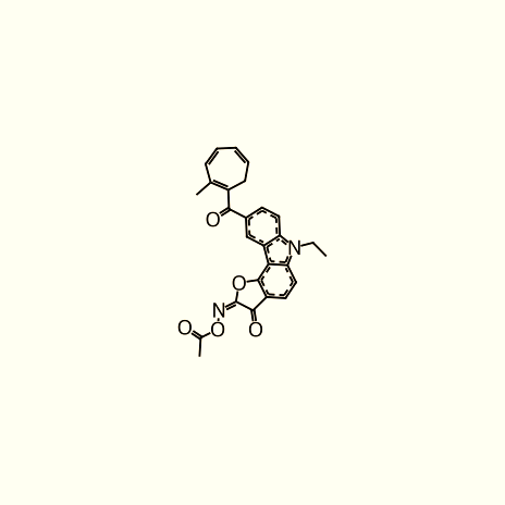 CCn1c2ccc(C(=O)C3=C(C)C=CC=CC3)cc2c2c3c(ccc21)C(=O)/C(=N\OC(C)=O)O3